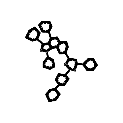 c1ccc(-c2ccc(-c3nc(-c4ccccc4)cc(-c4ccc5cc(-c6ccccc6)c6c(-c7ccccc7)nn(-c7ccccc7)c6c5c4)n3)cc2)cc1